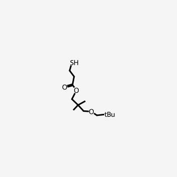 CC(C)(C)COCC(C)(C)COC(=O)CCS